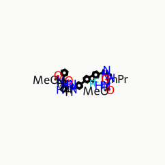 CCCN(Cc1ncc(-c2ccc3c(c2)C(F)(F)c2cc(-c4ccc5nc([C@@H]6[C@H]7CC[C@H](C7)N6C(=O)[C@H](NC(=O)OC)c6ccccc6)[nH]c5c4)ccc2-3)[nH]1)C(=O)CNC(=O)OC